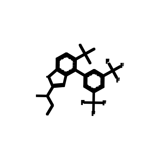 CCC(C)C1=Cc2c(ccc(C(C)(C)C)c2-c2cc(C(F)(F)F)cc(C(F)(F)F)c2)[CH]1